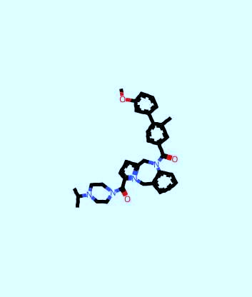 COc1cccc(-c2ccc(C(=O)N3Cc4ccc(C(=O)N5CCN(C(C)C)CC5)n4Cc4ccccc43)cc2C)c1